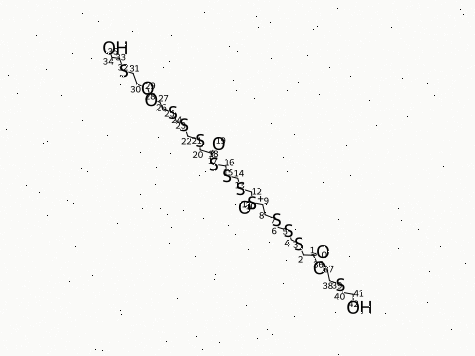 O=C(CSCSCSCC[S+]([O-])CSCSCSC(=O)CSCSCSCCOOCCSCCO)OCCSCCO